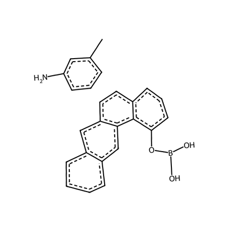 Cc1cccc(N)c1.OB(O)Oc1cccc2ccc3cc4ccccc4cc3c12